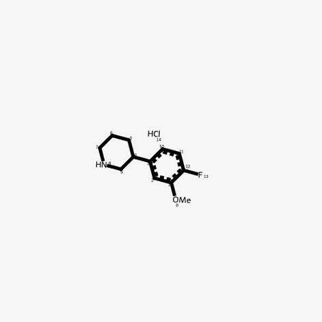 COc1cc(C2CCCNC2)ccc1F.Cl